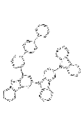 c1ccc(-c2ccc(-c3cccc(-c4cc(-n5c6ccccc6c6cc(-n7c8ccccc8c8ccccc87)ccc65)cc5c4sc4ccccc45)c3)cc2)cc1